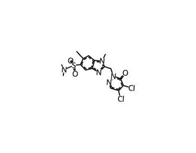 Cc1cc2c(cc1S(=O)(=O)N(C)C)nc(Cn1ncc(Cl)c(Cl)c1=O)n2C